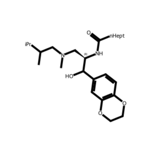 CCCCCCCC(=O)N[C@H](CN(C)CC(C)C(C)C)C(O)c1ccc2c(c1)OCCO2